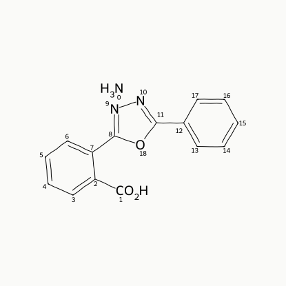 N.O=C(O)c1ccccc1-c1nnc(-c2ccccc2)o1